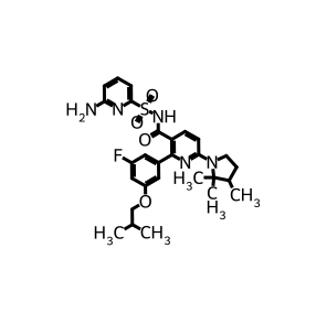 CC(C)COc1cc(F)cc(-c2nc(N3CCC(C)C3(C)C)ccc2C(=O)NS(=O)(=O)c2cccc(N)n2)c1